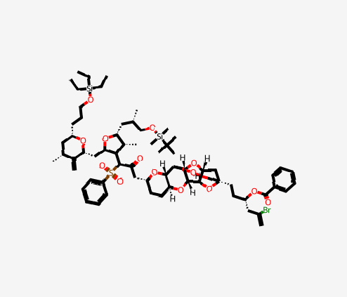 C=C(Br)C[C@H](CC[C@@]12C[C@H]3O[C@H]4C(O1)[C@H]1O[C@@H](CC(=O)C(C5C(C[C@H]6O[C@@H](CCCO[Si](CC)(CC)CC)C[C@@H](C)C6=C)O[C@H](C[C@H](C)CO[Si](C)(C)C(C)(C)C)[C@@H]5C)S(=O)(=O)c5ccccc5)CC[C@@H]1O[C@H]4[C@H]3O2)OC(=O)c1ccccc1